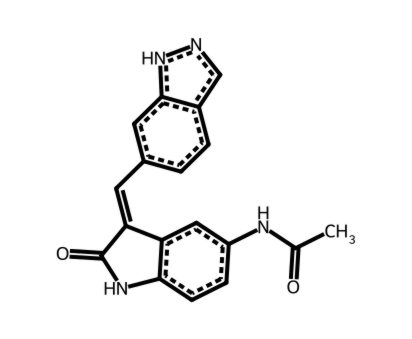 CC(=O)Nc1ccc2c(c1)/C(=C\c1ccc3cn[nH]c3c1)C(=O)N2